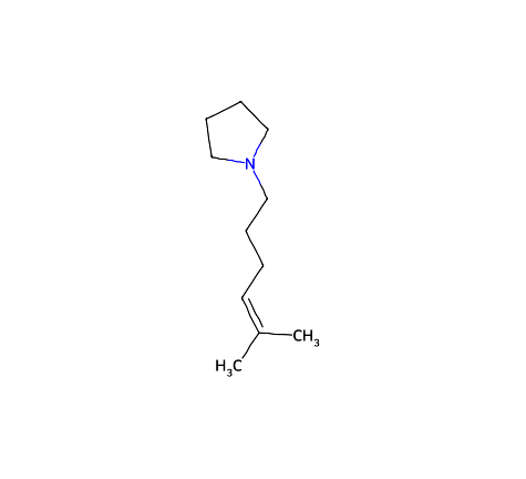 CC(C)=CCCCN1CCCC1